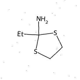 CCC1(N)SCCS1